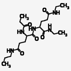 CCCNC(=O)CCC(NC(=O)CC)C(=O)NC(CCC(=O)NCC)C(=O)NCC